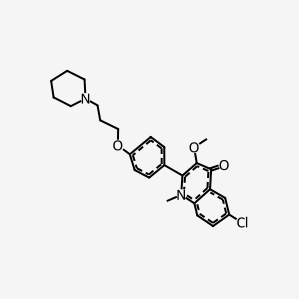 COc1c(-c2ccc(OCCCN3CCCCC3)cc2)n(C)c2ccc(Cl)cc2c1=O